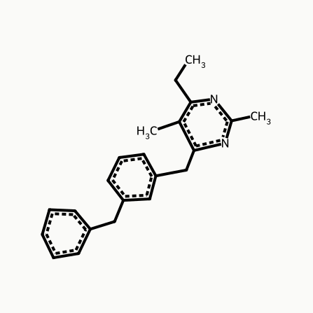 CCc1nc(C)nc(Cc2cccc(Cc3ccccc3)c2)c1C